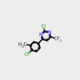 Cc1cc(-c2cc(C(F)(F)F)nc(Cl)n2)ccc1Cl